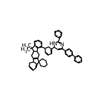 CC1(C)c2cccc(C3C=CC=C(C4C=C(c5ccc(-c6ccccc6)cc5)N=C(c5ccccc5)N4)C3)c2C2CC3=C(CC21)C1CC=CC=C1C31CCCCC1